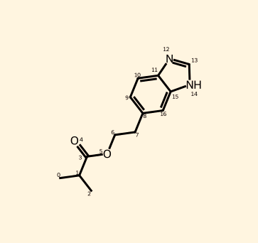 CC(C)C(=O)OCCc1ccc2nc[nH]c2c1